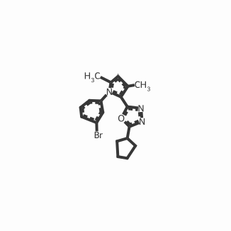 Cc1[c]c(C)n(-c2cccc(Br)c2)c1-c1nnc(C2CCCC2)o1